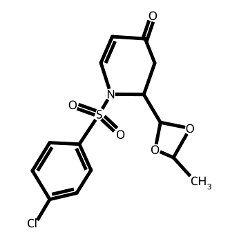 CC1OC(C2CC(=O)C=CN2S(=O)(=O)c2ccc(Cl)cc2)O1